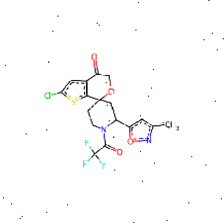 Cc1cc(C2CC3(CCN2C(=O)C(F)(F)F)OCC(=O)c2cc(Cl)sc23)on1